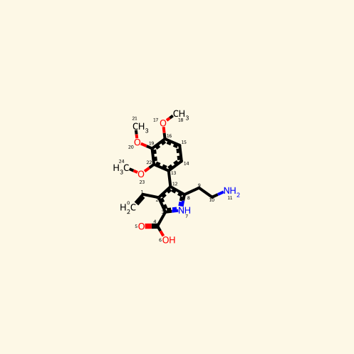 C=Cc1c(C(=O)O)[nH]c(CCN)c1-c1ccc(OC)c(OC)c1OC